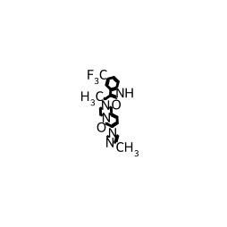 Cc1cn(-c2ccc3n(c2=O)CCN(C(C)c2c[nH]c4ccc(C(F)(F)F)cc24)C3=O)cn1